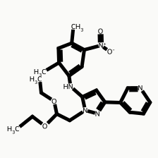 CCOC(Cn1nc(-c2cccnc2)cc1Nc1cc([N+](=O)[O-])c(C)cc1C)OCC